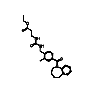 CCOC(=O)CCNC(=O)NCc1ccc(C(=O)N2CCCCc3ccccc32)cc1C